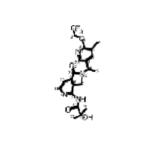 Cc1cc(C(C)N2Cc3c(ccnc3NC(=O)C(C)(C)O)C2=O)cnc1OCC(F)(F)F